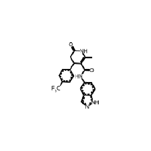 CC1=C(C(=O)Nc2ccc3[nH]ncc3c2)C(c2ccc(C(F)(F)F)cc2)CC(=O)N1